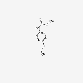 CC(C)(C)OC(=O)Nc1cnc(CCC#N)cn1